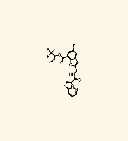 COC(OC(=O)c1cc(F)cc2cc(CNC(=O)c3cnc4cccnn34)oc12)C(F)(F)F